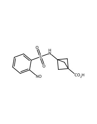 O=Nc1ccccc1S(=O)(=O)NC12CC(C(=O)O)(C1)C2